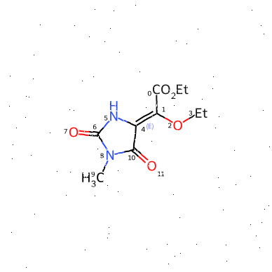 CCOC(=O)/C(OCC)=C1\NC(=O)N(C)C1=O